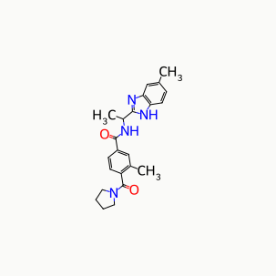 Cc1ccc2[nH]c(C(C)NC(=O)c3ccc(C(=O)N4CCCC4)c(C)c3)nc2c1